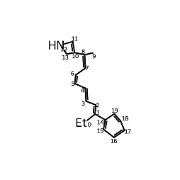 CC\C(=C/C=C/C=C\C=C(\C)C1=CNC1)c1ccccc1